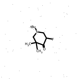 CC1(C)CN(C(C)(C)C)CC(F)C1=O